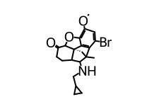 COc1cc(Br)c2c3c1OC1C(=O)CCC4C(NCC5CC5)C2(C)C[C@@]314